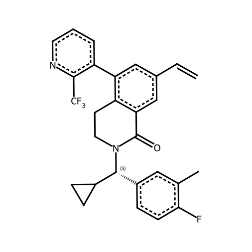 C=Cc1cc2c(c(-c3cccnc3C(F)(F)F)c1)CCN([C@H](c1ccc(F)c(C)c1)C1CC1)C2=O